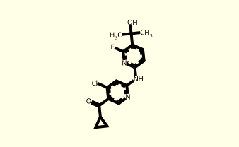 CC(C)(O)c1ccc(Nc2cc(Cl)c(C(=O)C3CC3)cn2)nc1F